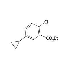 CCOC(=O)c1cc(C2CC2)ccc1Cl